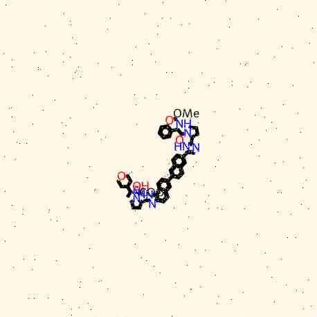 COC(=O)NC(C(=O)N1CCCC1c1ncc(-c2ccc3cc(-c4ccc5c(ccc6nc(C7CCCN7[N+](O)(C(=O)[O-])C(C)C7CCOCC7)[nH]c65)c4)ccc3c2)[nH]1)c1ccccc1